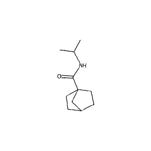 CC(C)NC(=O)C12CCC(CC1)C2